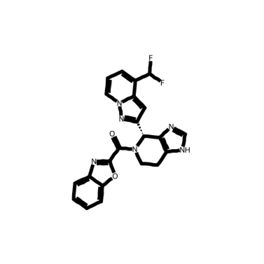 O=C(c1nc2ccccc2o1)N1CCc2[nH]cnc2[C@H]1c1cc2c(C(F)F)cccn2n1